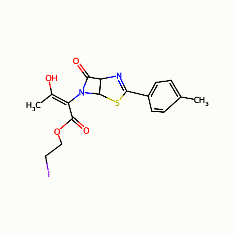 CC(O)=C(C(=O)OCCI)N1C(=O)C2N=C(c3ccc(C)cc3)SC21